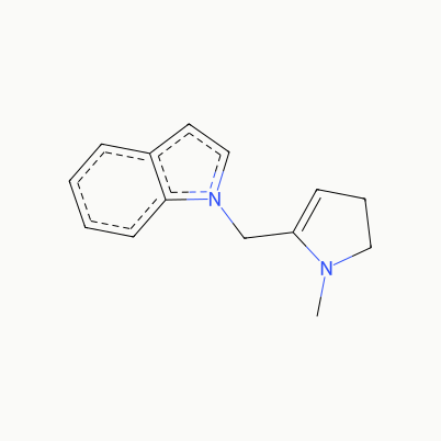 CN1CCC=C1Cn1ccc2ccccc21